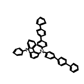 c1ccc(-c2ccc(-c3ccc(N(c4ccc(-c5ccc(-c6ccccc6)cc5)cc4)c4cccc5c4c4ccccc4n5-c4ccccc4)cc3)cc2)cc1